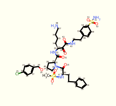 CS(=O)(=O)N[C@H](CCc1ccccc1)C(=O)N1C[C@H](OCc2ccc(Cl)cc2)C[C@H]1C(=O)N[C@@H](CCCCN)C(=O)C(=O)NCCc1ccc(S(N)(=O)=O)cc1